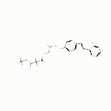 CCc1ccccc1-c1cc2ccc(OCC(COC(=O)C(C)(C)C(N)CC(C)(C)N)C(F)(F)F)cc2s1